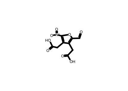 O=Cc1oc([N+](=O)[O-])c(CC(=O)O)c1CC(=O)O